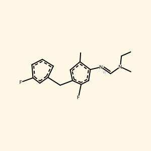 CCN(C)/C=N/c1cc(F)c(Cc2cccc(F)c2)cc1C